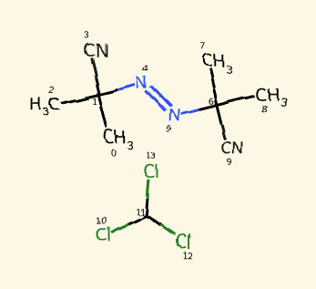 CC(C)(C#N)N=NC(C)(C)C#N.ClC(Cl)Cl